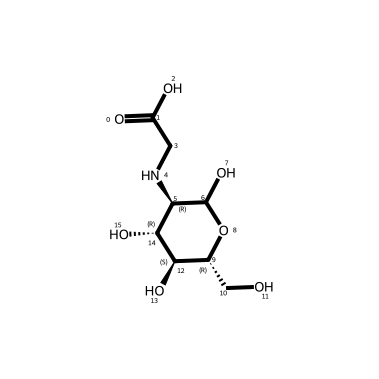 O=C(O)CN[C@H]1C(O)O[C@H](CO)[C@@H](O)[C@@H]1O